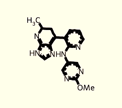 COc1ncc(Nc2ncccc2C2=c3nc[nH]c3=NC(C)C2)cn1